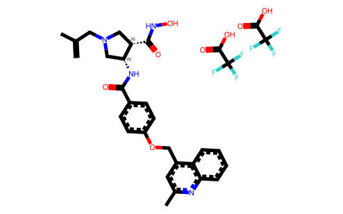 C=C(C)CN1C[C@H](C(=O)NO)[C@H](NC(=O)c2ccc(OCc3cc(C)nc4ccccc34)cc2)C1.O=C(O)C(F)(F)F.O=C(O)C(F)(F)F